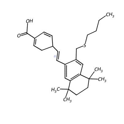 CCCCSCc1cc2c(cc1/C=C/C1C=CC(C(=O)O)=CC1)C(C)(C)CCC2(C)C